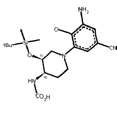 CC(C)(C)[Si](C)(C)O[C@H]1CN(c2cc(C#N)cc(N)c2Cl)CC[C@H]1NC(=O)O